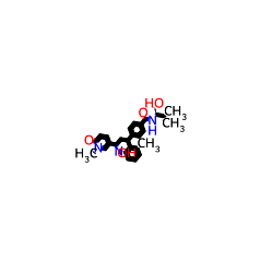 Cc1ccccc1C(C/C(=N\O)c1ccc(=O)n(C)c1)c1ccc(C(=O)N[C@H](CO)C(C)C)cc1